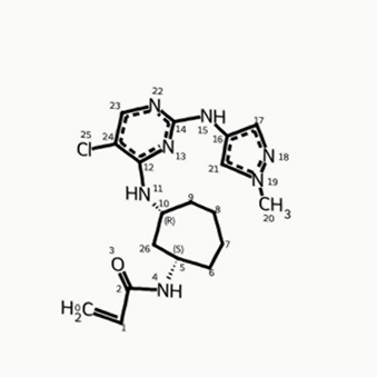 C=CC(=O)N[C@H]1CCCC[C@@H](Nc2nc(Nc3cnn(C)c3)ncc2Cl)C1